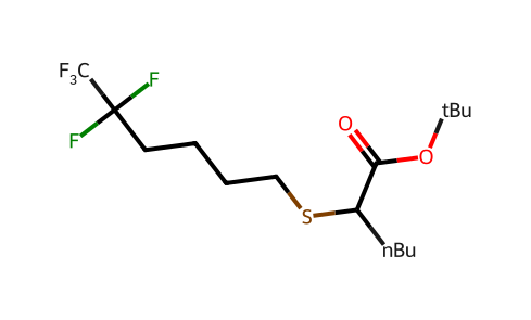 CCCCC(SCCCCC(F)(F)C(F)(F)F)C(=O)OC(C)(C)C